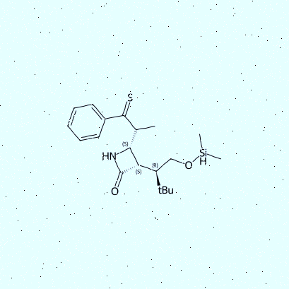 CC(C(=S)c1ccccc1)[C@H]1NC(=O)[C@H]1[C@@H](CO[SiH](C)C)C(C)(C)C